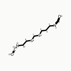 O=C=NCCCSCSCCN=C=O